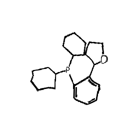 c1ccc(P(C2CCCCC2)C2CCCCC2)c(C2CCCO2)c1